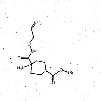 C=CCONC(=O)C1(C)CCN(C(=O)OC(C)(C)C)CC1